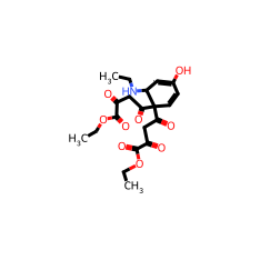 CCN[C]1[C]=C(O)C=CC1(C(=O)CC(=O)C(=O)OCC)C(=O)CC(=O)C(=O)OCC